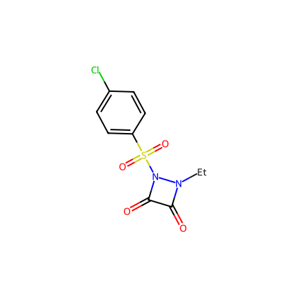 CCN1C(=O)C(=O)N1S(=O)(=O)c1ccc(Cl)cc1